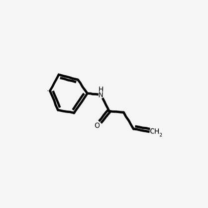 C=CCC(=O)Nc1cc[c]cc1